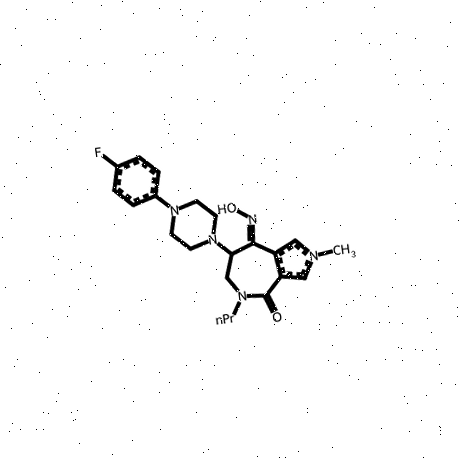 CCCN1CC(N2CCN(c3ccc(F)cc3)CC2)/C(=N\O)c2cn(C)cc2C1=O